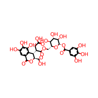 O=C(O)CC(C(=O)OC[C@H]1O[C@@H](OC(=O)c2cc(O)c(O)c(O)c2)[C@H](O)[C@@H](O)[C@@H]1O)[C@H]1c2c(cc(O)c(O)c2O)C(=O)O[C@@H]1C(=O)O